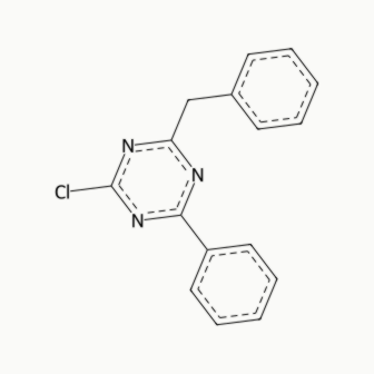 Clc1nc(Cc2ccccc2)nc(-c2ccccc2)n1